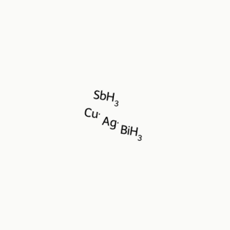 [Ag].[BiH3].[Cu].[SbH3]